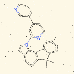 CC1(C)c2ccccc2-c2c1ccc1ccn(-c3cc(-c4cccnc4)ccn3)c21